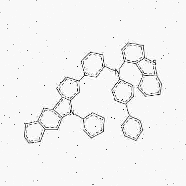 c1ccc(-c2ccc(N(c3cccc(-c4ccc5c6cc7ccccc7cc6n(-c6ccccc6)c5c4)c3)c3cccc4sc5ccccc5c34)cc2)cc1